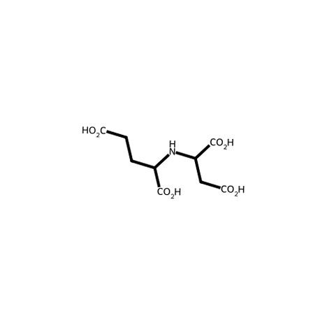 O=C(O)CCC(NC(CC(=O)O)C(=O)O)C(=O)O